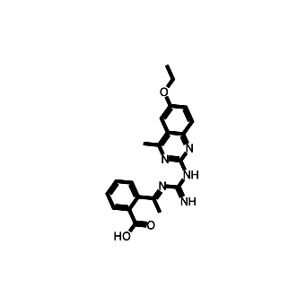 CCOc1ccc2nc(NC(=N)/N=C(\C)c3ccccc3C(=O)O)nc(C)c2c1